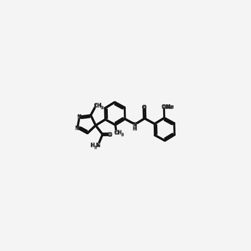 COc1ccccc1C(=O)Nc1cccc(C2(C(N)=O)C=NN=C2C)c1C